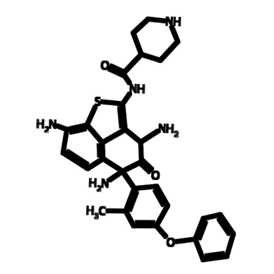 Cc1cc(Oc2ccccc2)ccc1C1(N)C(=O)C(N)c2c(NC(=O)C3CCNCC3)sc3c(N)ccc1c23